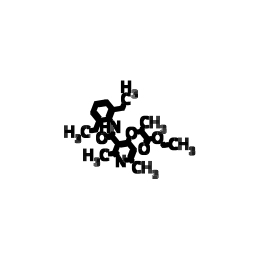 CCOC(=O)C(C)Oc1cc(C)nc(C)c1C(=O)Nc1c(CC)cccc1CC